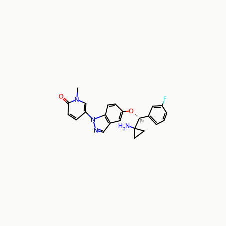 Cn1cc(-n2ncc3cc(O[C@H](c4cccc(F)c4)C4(N)CC4)ccc32)ccc1=O